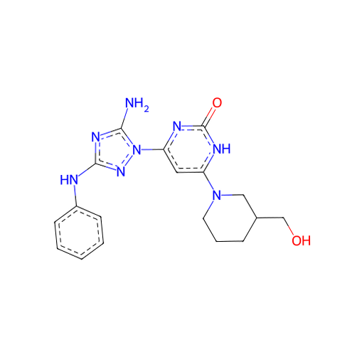 Nc1nc(Nc2ccccc2)nn1-c1cc(N2CCCC(CO)C2)[nH]c(=O)n1